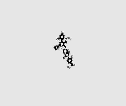 COC(=O)C1=C(CN2CCN3C(=O)N(c4ccc(C(C)=O)cc4F)C[C@@H]3C2)NC(c2nccs2)=NC1c1ccc(F)cc1Cl